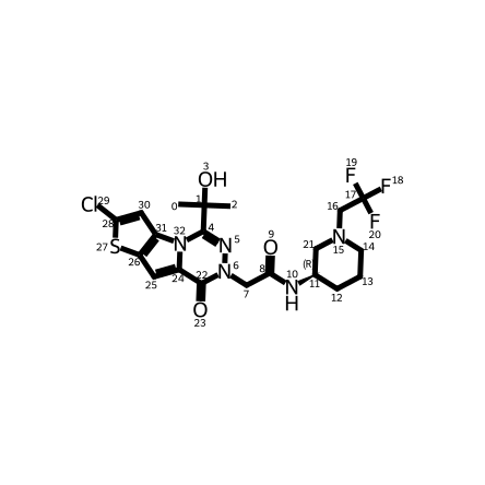 CC(C)(O)c1nn(CC(=O)N[C@@H]2CCCN(CC(F)(F)F)C2)c(=O)c2cc3sc(Cl)cc3n12